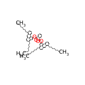 CCCCCCCCc1ccc2cc3c(CCCCCCCC)cccc3c3c2c1C=C3OC(=O)c1ccccc1C(=O)OC1=Cc2c(CCCCCCCC)ccc3cc4c(CCCCCCCC)cccc4c1c23